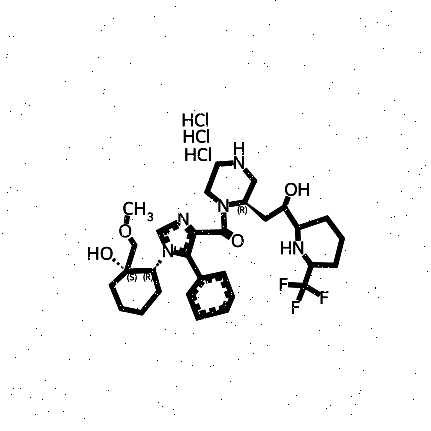 COC[C@]1(O)CCCC[C@H]1n1cnc(C(=O)N2CCNC[C@H]2CC(O)C2CCCC(C(F)(F)F)N2)c1-c1ccccc1.Cl.Cl.Cl